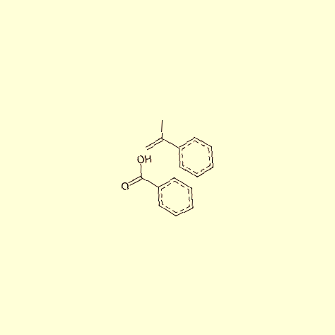 C=C(C)c1ccccc1.O=C(O)c1ccccc1